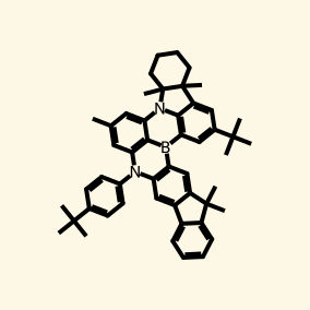 Cc1cc2c3c(c1)N1c4c(cc(C(C)(C)C)cc4C4(C)CCCCC14C)B3c1cc3c(cc1N2c1ccc(C(C)(C)C)cc1)-c1ccccc1C3(C)C